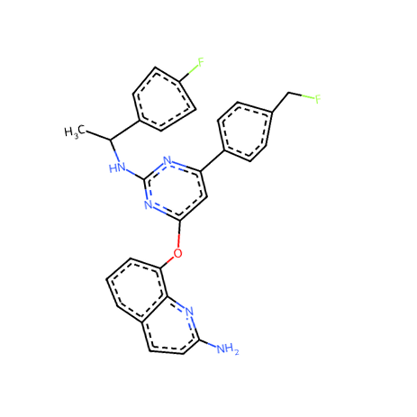 CC(Nc1nc(Oc2cccc3ccc(N)nc23)cc(-c2ccc(CF)cc2)n1)c1ccc(F)cc1